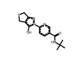 CC(C)(C)NC(=O)c1ccc(-n2nc3c(c2O)CSC3)nc1